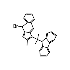 CC1=C(C(C)(C)C2c3ccccc3-c3ccccc32)C2=Cc3ccccc3C(Br)C2=C1